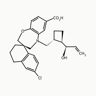 C=C[C@@H](O)[C@@H]1CC[C@H]1CN1C[C@@]2(CCCc3cc(Cl)ccc32)COc2ccc(C(=O)O)cc21